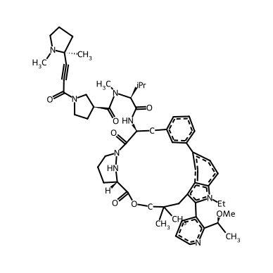 CCn1c(-c2cccnc2[C@H](C)OC)c2c3cc(ccc31)-c1cccc(c1)C[C@H](NC(=O)[C@H](C(C)C)N(C)C(=O)[C@H]1CCN(C(=O)C#C[C@]3(C)CCCN3C)C1)C(=O)N1CCC[C@H](N1)C(=O)OCC(C)(C)C2